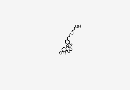 CN1C(=O)CCC(n2c(=O)n(C)c3cc(CCCOCCCO)ccc32)C1=O